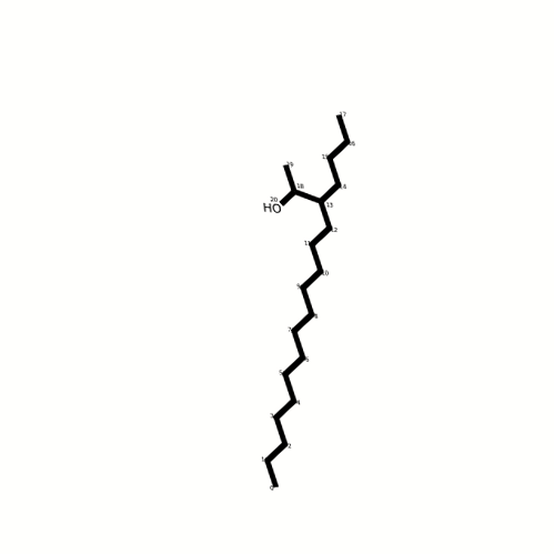 CCCCCCCCCCCCCC(CCCC)C(C)O